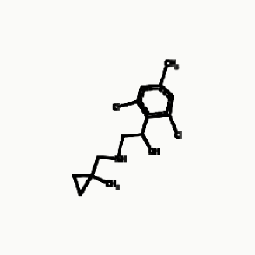 Cc1cc(Cl)c(C(O)CNCC2(C)CC2)c(Cl)c1